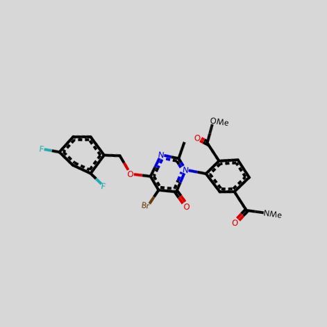 CNC(=O)c1ccc(C(=O)OC)c(-n2c(C)nc(OCc3ccc(F)cc3F)c(Br)c2=O)c1